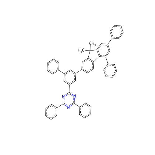 CC1(C)c2cc(-c3cc(-c4ccccc4)cc(-c4nc(-c5ccccc5)nc(-c5ccccc5)n4)c3)ccc2-c2c(-c3ccccc3)cc(-c3ccccc3)cc21